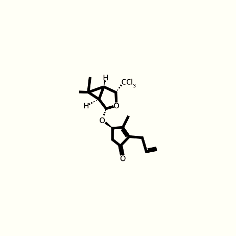 C=CCC1=C(C)[C@H](O[C@H]2O[C@@H](C(Cl)(Cl)Cl)[C@H]3[C@@H]2C3(C)C)CC1=O